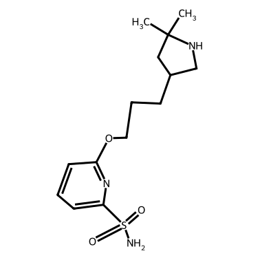 CC1(C)CC(CCCOc2cccc(S(N)(=O)=O)n2)CN1